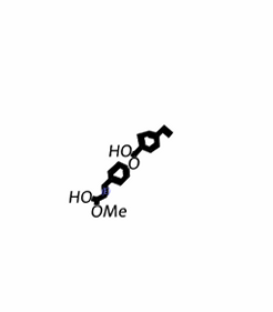 C=Cc1ccc(C(O)Oc2ccc(/C=C/C(O)OC)cc2)cc1